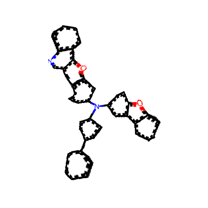 c1ccc(-c2ccc(N(c3ccc4c(c3)oc3c5ccccc5ncc43)c3ccc4oc5ccccc5c4c3)cc2)cc1